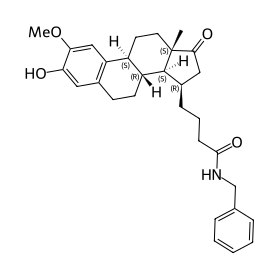 COc1cc2c(cc1O)CC[C@H]1[C@@H]3[C@H](CCCC(=O)NCc4ccccc4)CC(=O)[C@@]3(C)CC[C@H]21